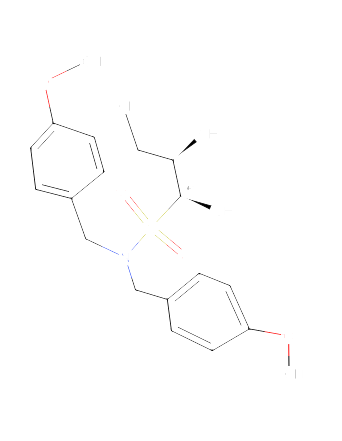 CC[C@@H](C)[C@@H](C)S(=O)(=O)N(Cc1ccc(OC)cc1)Cc1ccc(OC)cc1